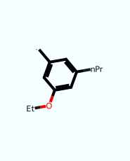 [CH2]c1cc(CCC)cc(OCC)c1